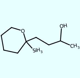 CC(O)CCC1([SiH3])CCCCO1